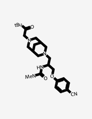 CNC(=O)NC(COc1ccc(C#N)cc1)CN1CC2CC(CN(CC(=O)C(C)(C)C)C2)C1